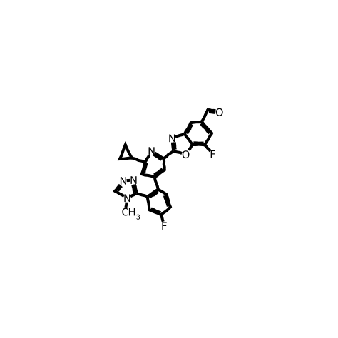 Cn1cnnc1-c1cc(F)ccc1-c1cc(-c2nc3cc(C=O)cc(F)c3o2)nc(C2CC2)c1